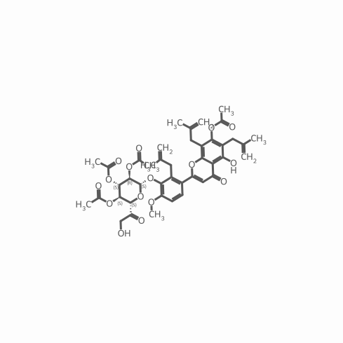 C=C(C)Cc1c(-c2cc(=O)c3c(O)c(CC(=C)C)c(OC(C)=O)c(CC(=C)C)c3o2)ccc(OC)c1O[C@@H]1O[C@H](C(=O)CO)[C@@H](OC(C)=O)[C@H](OC(C)=O)[C@H]1OC(C)=O